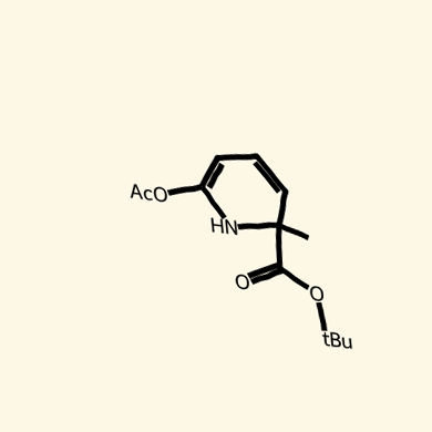 CC(=O)OC1=CC=CC(C)(C(=O)OC(C)(C)C)N1